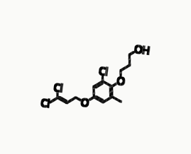 Cc1cc(OCC=C(Cl)Cl)cc(Cl)c1OCCCO